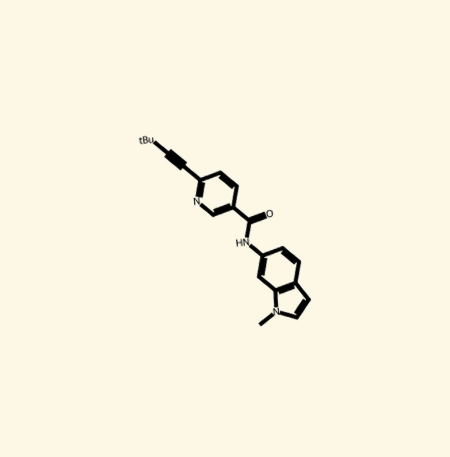 Cn1ccc2ccc(NC(=O)c3ccc(C#CC(C)(C)C)nc3)cc21